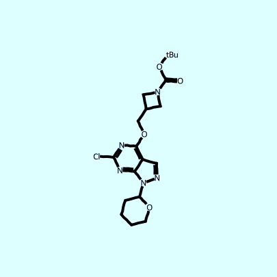 CC(C)(C)OC(=O)N1CC(COc2nc(Cl)nc3c2cnn3C2CCCCO2)C1